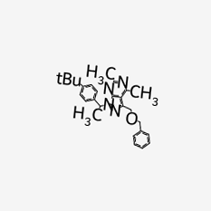 Cc1nc(C)c2c(COCc3ccccc3)nn(C(C)c3ccc(C(C)(C)C)cc3)c2n1